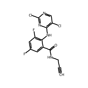 C#CCNC(=O)c1cc(F)cc(F)c1Nc1nc(Cl)ncc1Cl